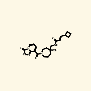 O=C(C=CC1CCC1)NCC1(O)CCCN(C(=O)c2cccn3c(=O)[nH]nc23)CC1